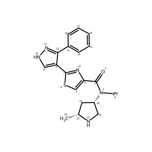 CC(C)N(C(=O)c1csc(-c2c[nH]nc2-c2ccccc2)n1)[C@@H]1CN[C@H](C)C1